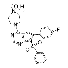 C[C@@H]1CN(c2ncnc3c2cc(-c2ccc(F)cc2)n3S(=O)(=O)c2ccccc2)CCN1C(=O)O